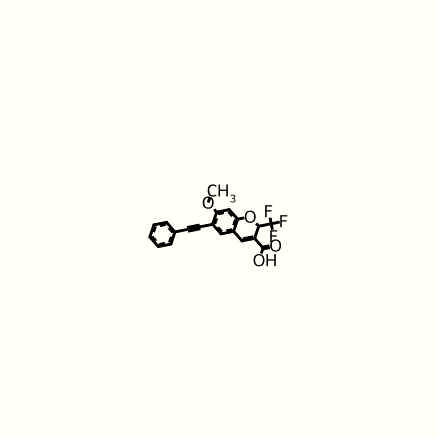 COc1cc2c(cc1C#Cc1ccccc1)C=C(C(=O)O)C(C(F)(F)F)O2